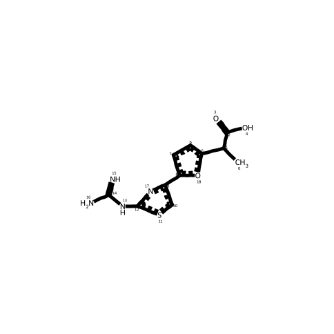 CC(C(=O)O)c1ccc(-c2csc(NC(=N)N)n2)o1